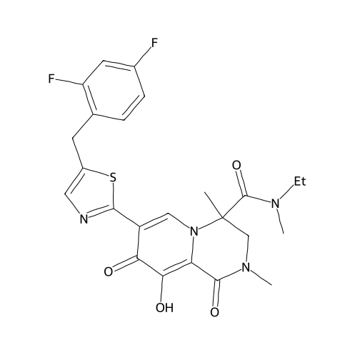 CCN(C)C(=O)C1(C)CN(C)C(=O)c2c(O)c(=O)c(-c3ncc(Cc4ccc(F)cc4F)s3)cn21